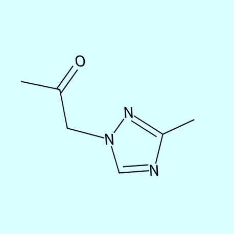 CC(=O)Cn1cnc(C)n1